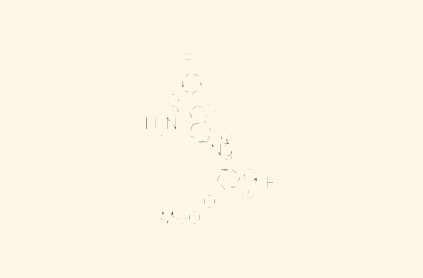 COCOCc1cc(CN(c2cc3oc(-c4ccc(F)cc4)c(C(N)=O)c3cc2C2(C)CC2)S(C)(=O)=O)cc(OC(F)(F)F)c1Br